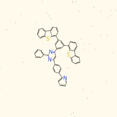 c1ccc(-c2nc(-c3ccc(-c4ccccn4)cc3)cc(-c3cc(-c4cccc5c4sc4ccccc45)cc(-c4cccc5c4sc4ccccc45)c3)n2)cc1